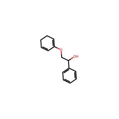 OC(COC1=CCCC=C1)c1ccccc1